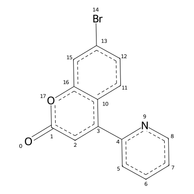 O=c1cc(-c2ccccn2)c2ccc(Br)cc2o1